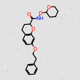 O=C(NOC1CCCCO1)C1CCc2ccc(OCCc3ccccc3)cc2O1